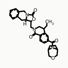 CCC1CN(CC2OC(=O)N3Cc4ccccc4C[C@@H]23)C(=O)c2ccc(C(=O)N3C4CCC3COC4)cc21